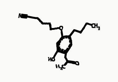 CCCCc1cc(C(C)=O)c(O)cc1OCCCCC#N